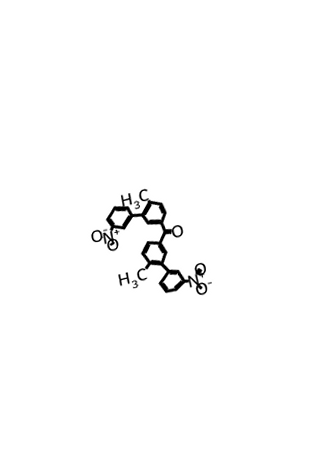 Cc1ccc(C(=O)c2ccc(C)c(-c3cccc([N+](=O)[O-])c3)c2)cc1-c1cccc([N+](=O)[O-])c1